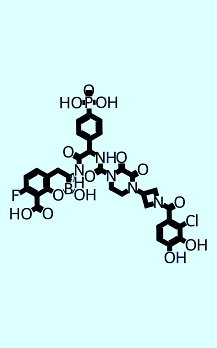 O=C(O)c1c(F)ccc2c1OB(O)[C@@H](NC(=O)C(NC(=O)N1CCN(C3CN(C(=O)c4ccc(O)c(O)c4Cl)C3)C(=O)C1=O)c1ccc(P(=O)(O)O)cc1)C2